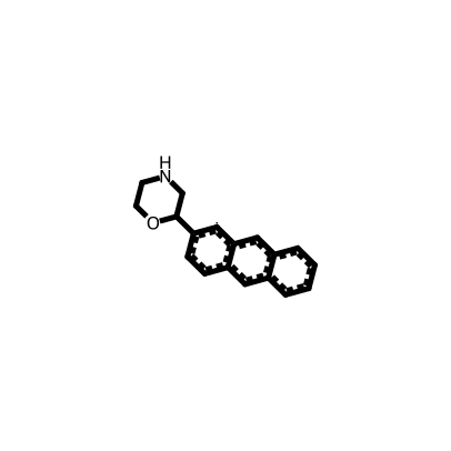 [c]1c(C2CNCCO2)ccc2cc3ccccc3cc12